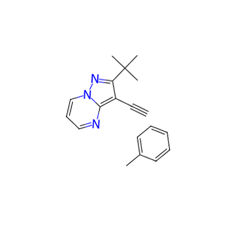 C#Cc1c(C(C)(C)C)nn2cccnc12.Cc1ccccc1